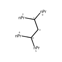 [CH2]CCC(CCC)CC(CCC)CCC